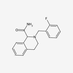 NC(=O)C1c2cc[c]cc2CCN1Cc1ccccc1F